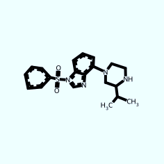 CC(C)C1CN(c2cccc3c2ncn3S(=O)(=O)c2ccccc2)CCN1